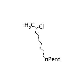 [CH2]C(Cl)CCCCCCCCCCCC